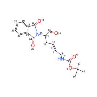 CC(C)(C)OC(=O)NC/C=C/CC(C=O)N1C(=O)c2ccccc2C1=O